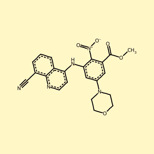 COC(=O)c1cc(N2CCOCC2)cc(Nc2ccnc3c(C#N)cccc23)c1[N+](=O)[O-]